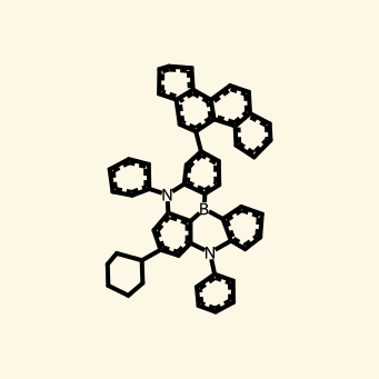 c1ccc(N2c3ccccc3B3c4ccc(-c5cc6ccccc6c6ccc7ccccc7c56)cc4N(c4ccccc4)c4cc(C5CCCCC5)cc2c43)cc1